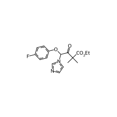 CCOC(=O)C(C)(C)C(=O)C(Oc1ccc(F)cc1)n1ccnc1